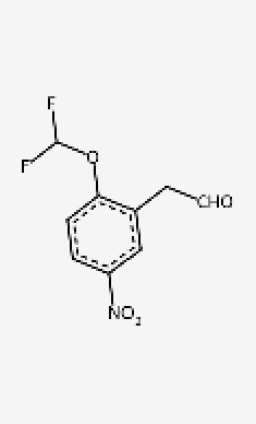 O=CCc1cc([N+](=O)[O-])ccc1OC(F)F